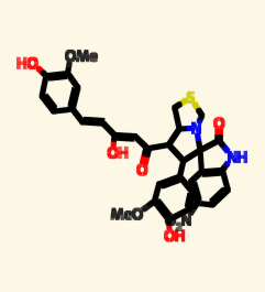 COc1cc(C=CC(O)=CC(=O)C2C3CSCN3C3(C(=O)Nc4ccc([N+](=O)[O-])cc43)C2c2ccc(O)c(OC)c2)ccc1O